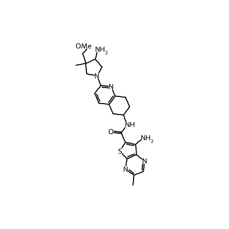 COCC1(C)CN(c2ccc3c(n2)CCC(NC(=O)c2sc4nc(C)cnc4c2N)C3)CC1N